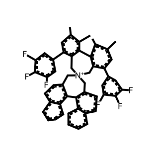 Cc1cc(-c2cc(F)c(F)c(F)c2)c2c(c1C)-c1c(C)c(C)cc(-c3cc(F)c(F)c(F)c3)c1C[N+]1(Cc3ccc4ccccc4c3-c3c(ccc4ccccc34)C1)C2